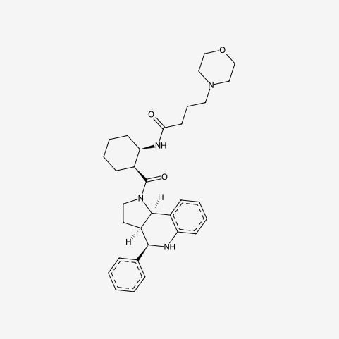 O=C(CCCN1CCOCC1)N[C@@H]1CCCC[C@@H]1C(=O)N1CC[C@@H]2[C@H](c3ccccc3)Nc3ccccc3[C@@H]21